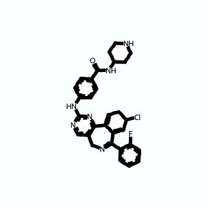 O=C(NC1CCNCC1)c1ccc(Nc2ncc3c(n2)C2=CCC(Cl)C=C2C(c2ccccc2F)=NC3)cc1